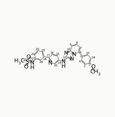 COc1ccc(-c2cccc3nc(Nc4ccc(-c5cccc(NS(C)(=O)=O)c5)nc4)nn23)cc1